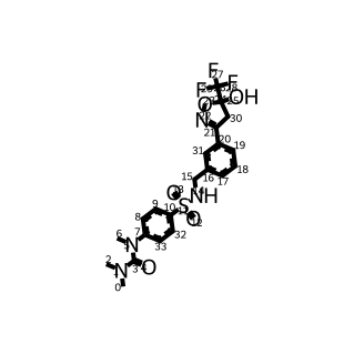 CN(C)C(=O)N(C)c1ccc(S(=O)(=O)NCc2cccc(C3=NOC(O)(C(F)(F)F)C3)c2)cc1